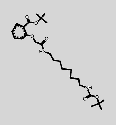 CC(C)(C)OC(=O)NCCCCCCCCNC(=O)COc1ccccc1C(=O)OC(C)(C)C